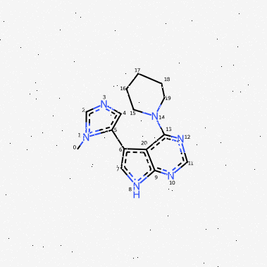 Cn1cncc1-c1c[nH]c2ncnc(N3CCCCC3)c12